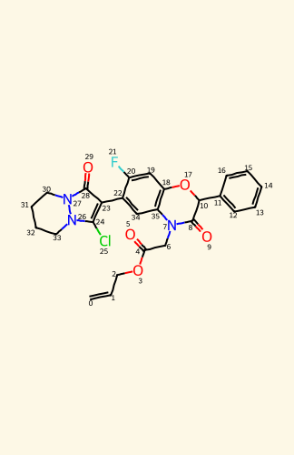 C=CCOC(=O)CN1C(=O)C(c2ccccc2)Oc2cc(F)c(-c3c(Cl)n4n(c3=O)CCCC4)cc21